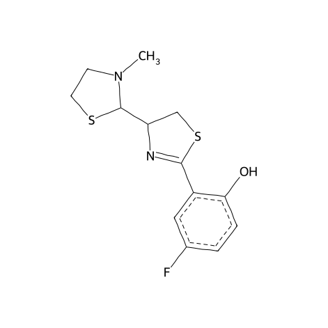 CN1CCSC1C1CSC(c2cc(F)ccc2O)=N1